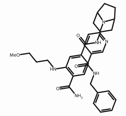 COCCCNc1cc(C(=O)NC2CC3CCC(C2)N3c2ccc(C(=O)NCc3ccccc3)cn2)ccc1C(N)=O